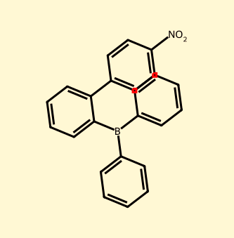 O=[N+]([O-])c1ccc(-c2ccccc2B(c2ccccc2)c2ccccc2)cc1